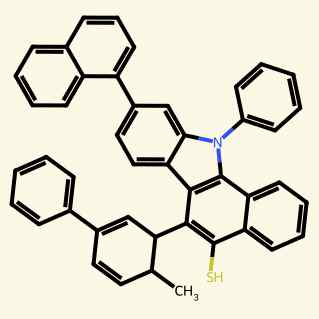 CC1C=CC(c2ccccc2)=CC1c1c(S)c2ccccc2c2c1c1ccc(-c3cccc4ccccc34)cc1n2-c1ccccc1